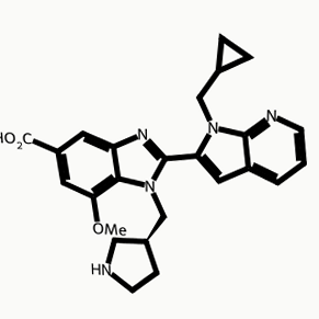 COc1cc(C(=O)O)cc2nc(-c3cc4cccnc4n3CC3CC3)n(C[C@H]3CCNC3)c12